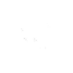 CC(=O)c1cnnn1O